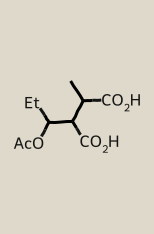 CCC(OC(C)=O)C(C(=O)O)C(C)C(=O)O